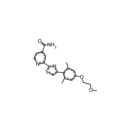 COCCOc1cc(C)c(-c2csc(-c3cc(C(N)=O)ccn3)n2)c(C)c1